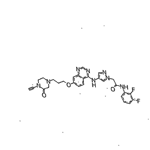 C#CN1CCN(CCCOc2ccc3c(Nc4cnn(CC(=O)Nc5cccc(F)c5F)c4)ncnc3c2)CC1=O